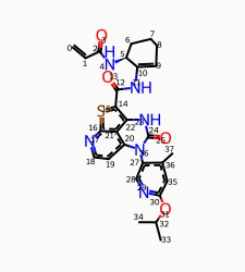 C=CC(=O)N[C@H]1CCCC=C1NC(=O)c1sc2nccc3c2c1NC(=O)N3c1cnc(OC(C)C)cc1C